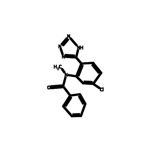 CN(C(=O)c1ccccc1)c1cc(Cl)ccc1-c1nnn[nH]1